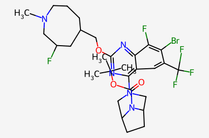 CN1CCCC(COc2nc(N3CC4CCC(C3)N4C(=O)OC(C)(C)C)c3cc(C(F)(F)F)c(Br)c(F)c3n2)CC(F)C1